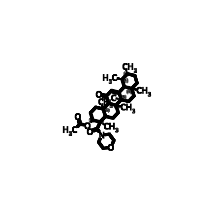 CC(=O)O[C@@H]1CC[C@@]2(C)C(CC[C@]3(C)C2C(=O)C=C2C4[C@@H](C)[C@H](C)CC[C@]4(C)CC[C@]23C)[C@@]1(C)C(=O)N1CCOCC1